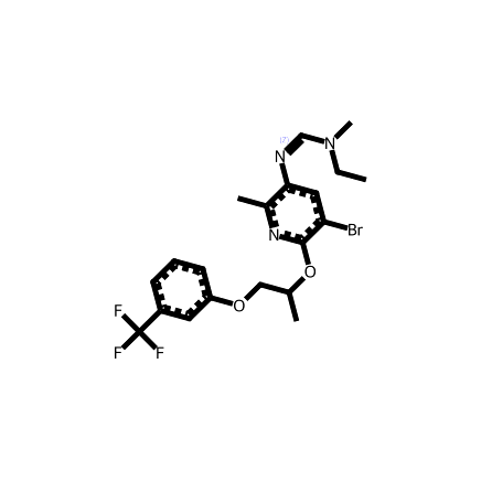 CCN(C)/C=N\c1cc(Br)c(OC(C)COc2cccc(C(F)(F)F)c2)nc1C